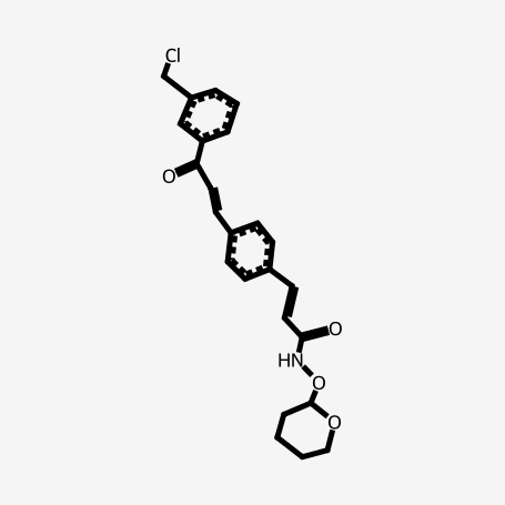 O=C(C=Cc1ccc(C=CC(=O)c2cccc(CCl)c2)cc1)NOC1CCCCO1